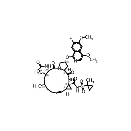 COc1cc2c(OC)cnc(O[C@@H]3C[C@H]4C(=O)N[C@]5(C(=O)NS(=O)(=O)C6(C)CC6)C[C@H]5C=CCC[C@@H](C)C[C@@H](C)[C@H](NC(=O)O)C(=O)N4C3)c2cc1F